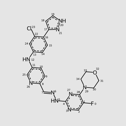 Fc1cnc(N/N=C/c2ccc(Nc3ccc(-c4cc[nH]n4)c(Cl)c3)cn2)nc1N1CCOCC1